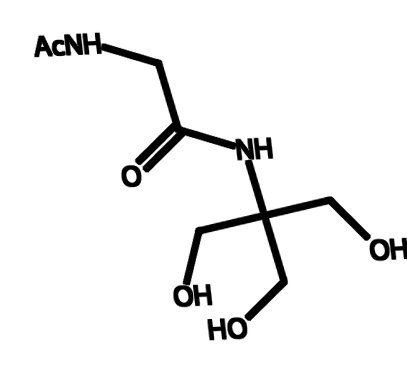 CC(=O)NCC(=O)NC(CO)(CO)CO